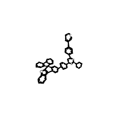 c1ccc(-c2ccc(-c3cc(-c4ccc(-c5ccc6c(c5)C5(c7ccccc7-c7ccccc75)c5oc7ccccc7c5-6)cc4)nc(-c4ccccc4)n3)cc2)cc1